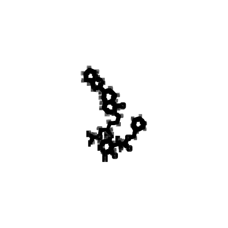 O=C(OCc1ccccc1)C(F)(F)c1c(N[C@H](CCCn2ccc3cc(-c4nc5ccccn5n4)ccc3c2=O)COC(F)F)cn[nH]c1=O